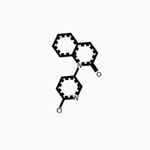 O=c1ccc2ccccc2n1-c1ccc(Cl)nc1